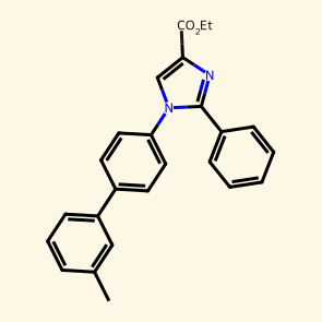 CCOC(=O)c1cn(-c2ccc(-c3cccc(C)c3)cc2)c(-c2ccccc2)n1